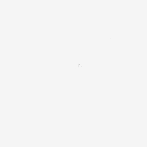 [CH2]CCCN(CCCC)C1CCCC1